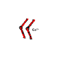 CC(C)CCCCCCCCCCCCCCCOP(=O)([O-])OCCCCCCCCCCCCCCCC(C)C.CC(C)CCCCCCCCCCCCCCCOP(=O)([O-])OCCCCCCCCCCCCCCCC(C)C.[Ca+2]